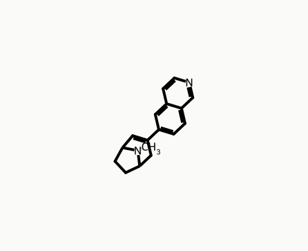 CN1C2C=C(c3ccc4cnccc4c3)CC1CC2